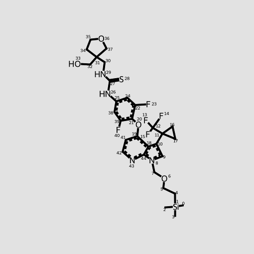 C[Si](C)(C)CCOCn1cc(C2(C(F)(F)F)CC2)c2c(Oc3c(F)cc(NC(=S)NCC4(CO)CCOC4)cc3F)ccnc21